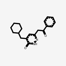 O=C(Cc1cc(CC2CCCCC2)c(=O)[nH]n1)c1ccccc1